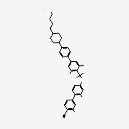 CCCCCC1CCC(c2ccc(-c3cc(F)c(C(F)(F)Oc4ccc(-c5ccc(C#N)c(F)c5)c(F)c4)c(F)c3)cc2)CC1